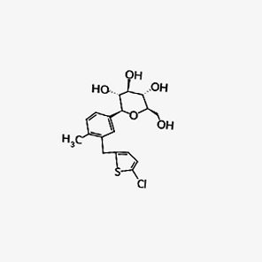 Cc1ccc([C@@H]2O[C@H](CO)[C@@H](O)[C@H](O)[C@H]2O)cc1Cc1ccc(Cl)s1